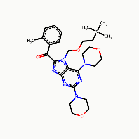 Cc1ccccc1C(=O)c1nc2nc(N3CCOCC3)nc(N3CCOCC3)c2n1COCC[Si](C)(C)C